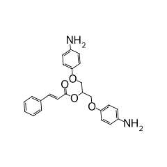 Nc1ccc(OCC(COc2ccc(N)cc2)OC(=O)C=Cc2ccccc2)cc1